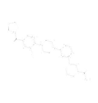 NC(=O)C1CCCN(c2ccnc(N3CCN(c4ncc(C(=O)N5CCCC5)cc4Cl)CC3)n2)C1